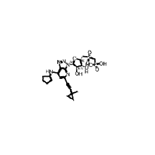 CC1(C#Cc2cc(NC3CCCC3)c3nnn([C@@H]4O[C@H](CS(=O)(=O)CP(=O)(O)O)[C@@H](O)[C@H]4O)c3n2)CC1